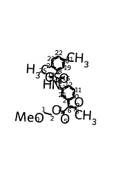 COCCOC(=O)c1c(C)oc2ccc(NS(=O)(=O)c3cc(C)ccc3C)cc12